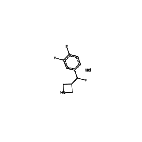 Cl.Fc1ccc(C(F)C2CNC2)cc1F